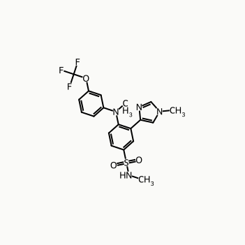 CNS(=O)(=O)c1ccc(N(C)c2cccc(OC(F)(F)F)c2)c(-c2cn(C)cn2)c1